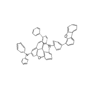 c1ccc(-c2ccc(N(c3ccc(-c4cccc5c4oc4ccccc45)cc3)c3cccc4c3-c3cccc5cc(N(c6ccccc6)c6ccccc6)cc(c35)O4)cc2)cc1